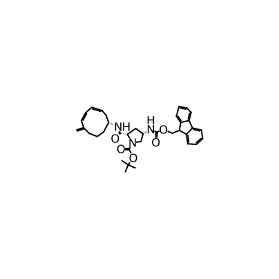 C=C1/C=C\C=C/C[C@H](NC(=O)[C@@H]2C[C@H](NC(=O)OCC3c4ccccc4-c4ccccc43)CN2C(=O)OC(C)(C)C)CCC1